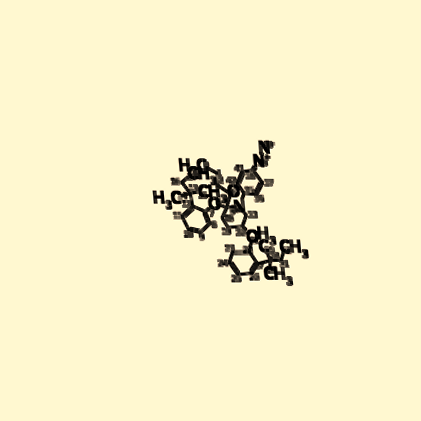 CCCC(=O)C1(Oc2ccccc2C(C)(C)CC)CCC(Oc2ccccc2C(C)(C)CC)CN1C1C=CC(=[N+]=[N-])C=C1